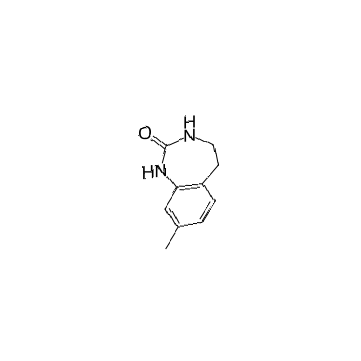 Cc1ccc2c(c1)NC(=O)NCC2